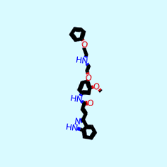 COc1cc(NC(=O)C=Cc2n[nH]c3ccccc23)ccc1OCCNCCOc1ccccc1